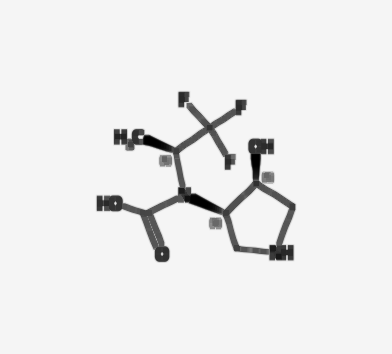 C[C@H](N(C(=O)O)[C@@H]1CNC[C@@H]1O)C(F)(F)F